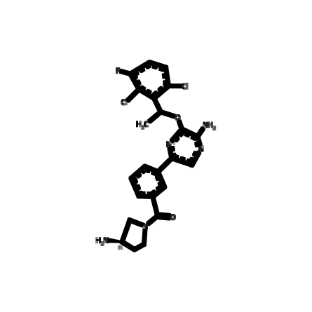 CC(Oc1nc(-c2cccc(C(=O)N3CC[C@@H](N)C3)c2)cnc1N)c1c(Cl)ccc(F)c1Cl